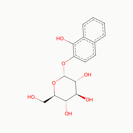 OC[C@H]1O[C@H](Oc2ccc3ccccc3c2O)[C@H](O)[C@@H](O)[C@@H]1O